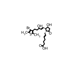 Cc1sc(C)c(CCC(O)C=C[C@H]2[C@H](O)CC(=O)[C@@H]2CC=CCCCC(=O)O)c1Br